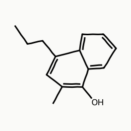 CCCc1cc(C)c(O)c2ccccc12